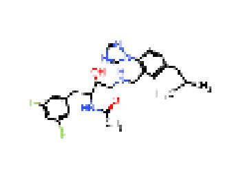 CC(=O)N[C@@H](Cc1cc(F)cc(F)c1)[C@@H](O)CNCc1cc(CC(C)C)ccc1-n1cncn1